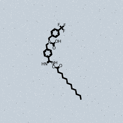 CCCCCCCCCCCC(=O)ONC(=N)c1ccc(CN(Cc2ccc(C(F)(F)F)cc2)C(=O)O)cc1